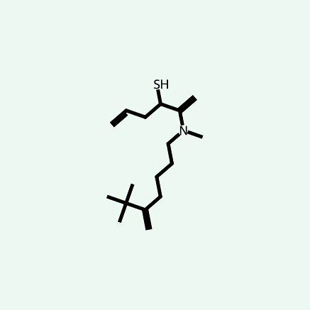 C=CCC(S)C(=C)N(C)CCCCC(=C)C(C)(C)C